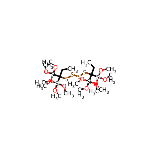 CCC(SSSSC(CC)([Si](OC)(OC)OC)[Si](OC)(OC)OC)([Si](OC)(OC)OC)[Si](OC)(OC)OC